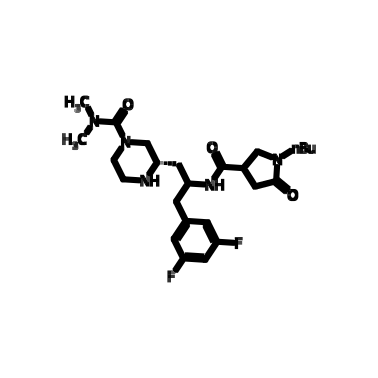 CCCCN1CC(C(=O)NC(Cc2cc(F)cc(F)c2)C[C@H]2CN(C(=O)N(C)C)CCN2)CC1=O